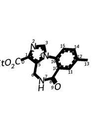 CCOC(=O)c1ncn2c1CNC(=O)c1cc(C)ccc1-2